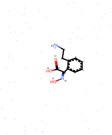 NCCc1ccccc1/C(=N/O)C(=O)O